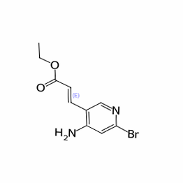 CCOC(=O)/C=C/c1cnc(Br)cc1N